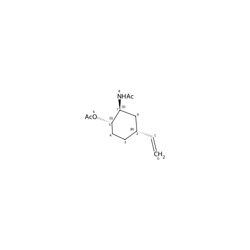 C=C[C@@H]1CC[C@H](OC(C)=O)[C@@H](NC(C)=O)C1